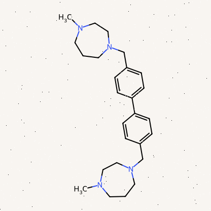 CN1CCCN(Cc2ccc(-c3ccc(CN4CCCN(C)CC4)cc3)cc2)CC1